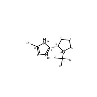 CC(C)(C)N1CCC[C@H]1c1ncc(I)[nH]1